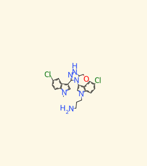 Cn1cc(C2=NNC(C=O)N2c2cn(CCCN)c3ccc(Cl)cc23)c2cc(Cl)ccc21